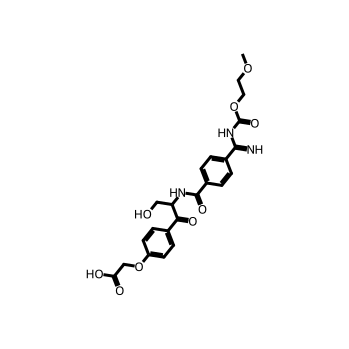 COCCOC(=O)NC(=N)c1ccc(C(=O)NC(CO)C(=O)c2ccc(OCC(=O)O)cc2)cc1